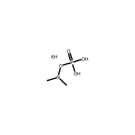 CN(C)OP(=O)(O)O.[KH]